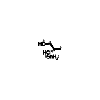 CCCO.Cl.[SnH2]